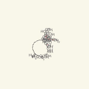 C=CCOC(=O)N[C@@H]1[C@H](O)[C@H](O[C@H]2/C=C/C=C/C=C/C=C/C=C/C=C/C=C/[C@H](C)[C@@H](O)[C@@H](C)[C@H](C)OC(=O)C[C@H](O)C[C@H](O)CC[C@@H](O)[C@H](O)C[C@H](O)C[C@]3(O)C[C@H](OC(=O)OCC=C)[C@@H](NC(=O)N4CC(O[C@H]5OC(CO)[C@@H](O)[C@H](O)C5O)C4)[C@H](C2)O3)O[C@H](C)[C@H]1O